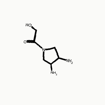 NC1CN(C(=O)CO)CC1N